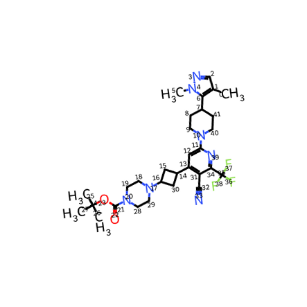 Cc1cnn(C)c1C1CCN(c2cc(C3CC(N4CCN(C(=O)OC(C)(C)C)CC4)C3)c(C#N)c(C(F)(F)F)n2)CC1